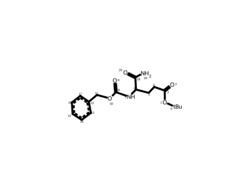 CC(C)(C)OC(=O)CCC(NC(=O)OCc1ccccc1)C(N)=O